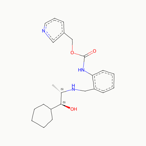 C[C@H](NCc1ccccc1NC(=O)OCc1cccnc1)[C@@H](O)C1CCCCC1